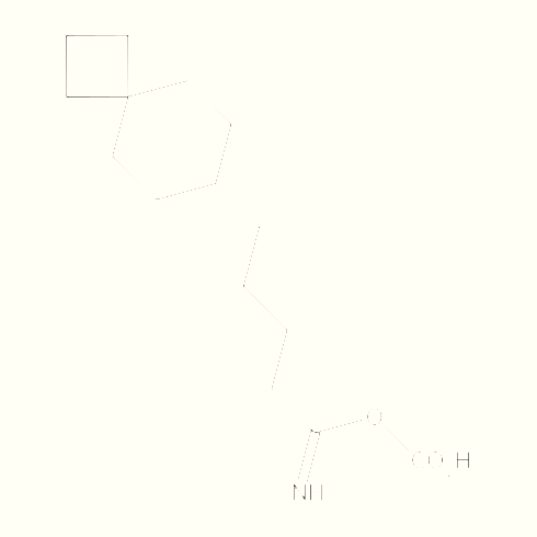 N=C(CCCCC1CCC2(CCC2)CC1)OC(=O)O